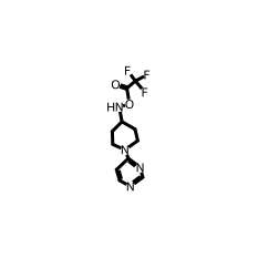 O=C(ONC1CCN(c2ccncn2)CC1)C(F)(F)F